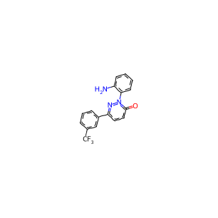 Nc1ccccc1-n1nc(-c2cccc(C(F)(F)F)c2)ccc1=O